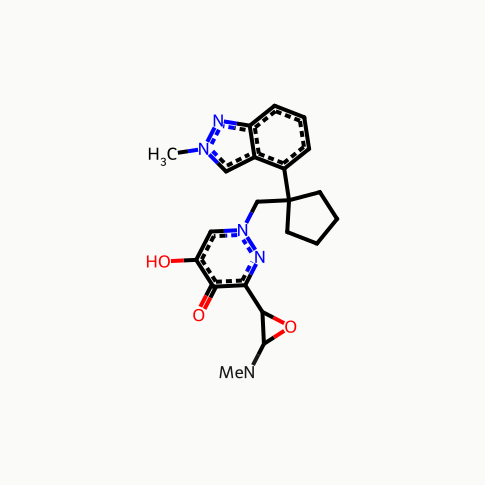 CNC1OC1c1nn(CC2(c3cccc4nn(C)cc34)CCCC2)cc(O)c1=O